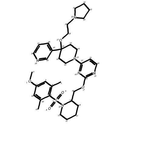 COc1cc(C)c(S(=O)(=O)N2CCCCC2COc2nccc(N3CCC(OCCN4CCCC4)(c4cccnc4)CC3)n2)c(C)c1